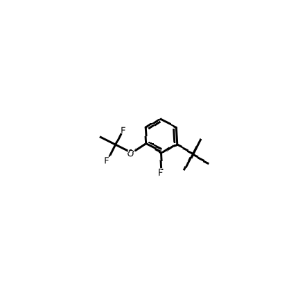 CC(F)(F)Oc1cccc(C(C)(C)C)c1F